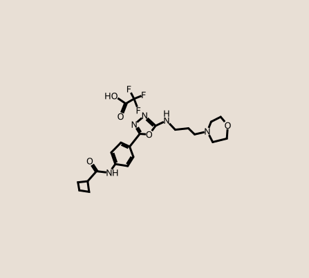 O=C(Nc1ccc(-c2nnc(NCCCN3CCOCC3)o2)cc1)C1CCC1.O=C(O)C(F)(F)F